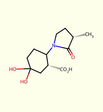 C[C@H]1CCN(C2CCC(O)(O)C[C@H]2C(=O)O)C1=O